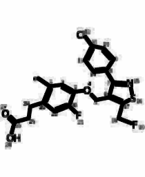 Cc1cc(OCc2c(-c3ccc(Cl)cc3)nsc2CF)c(F)cc1CCC(=O)O